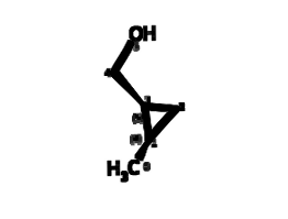 C[C@@H]1C[C@@H]1CO